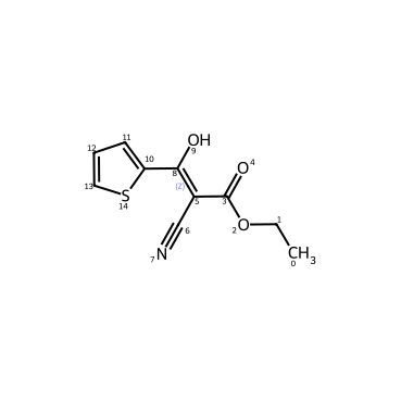 CCOC(=O)/C(C#N)=C(\O)c1cccs1